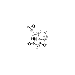 O=C1NC(=O)C2(NCCCC2CC2CO2)N1